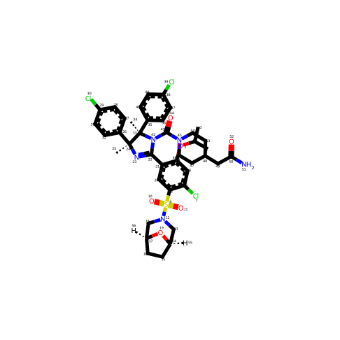 CC(C)Oc1cc(Cl)c(S(=O)(=O)N2C[C@H]3CC[C@@H](C2)O3)cc1C1=N[C@@](C)(c2ccc(Cl)cc2)[C@@](C)(c2ccc(Cl)cc2)N1C(=O)N1CCC(CC(N)=O)CC1